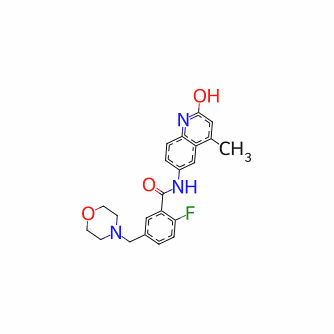 Cc1cc(O)nc2ccc(NC(=O)c3cc(CN4CCOCC4)ccc3F)cc12